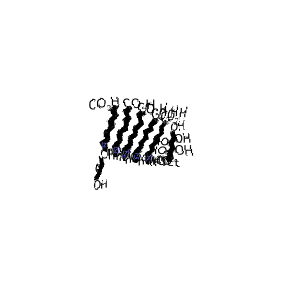 CCCCCCCC/C=C\CCCCCCCC(=O)O.CCCCCCCC/C=C\CCCCCCCC(=O)O.CCCCCCCC/C=C\CCCCCCCC(=O)O.CCCCCCCC/C=C\CCCCCCCC(=O)O.CCCCCCCC/C=C\CCCCCCCC(=O)O.OCCOCCO.OC[C@@H](O)[C@@H](O)[C@H](O)[C@@H](O)CO